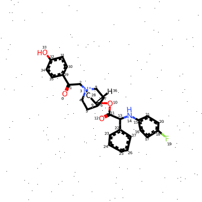 O=C(C[N+]12CCC(CC1)[C@@H](OC(=O)C(Nc1ccc(F)cc1)c1ccccc1)C2)c1ccc(O)cc1